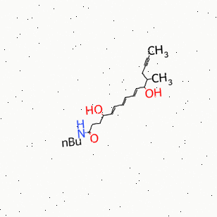 CC#CCC(C)C(O)C=CC=CC=CC(O)CCC(=O)NCCCC